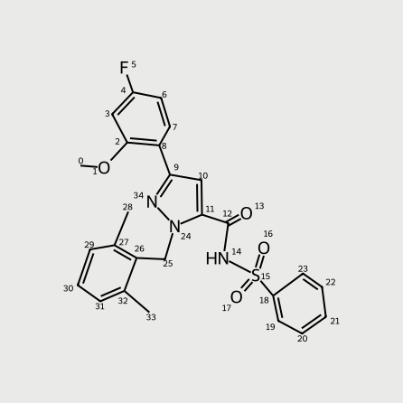 COc1cc(F)ccc1-c1cc(C(=O)NS(=O)(=O)c2ccccc2)n(Cc2c(C)cccc2C)n1